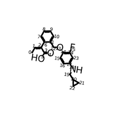 CC=C(C(=O)O)c1ccccc1COc1ccc(NCC2CC2)cc1F